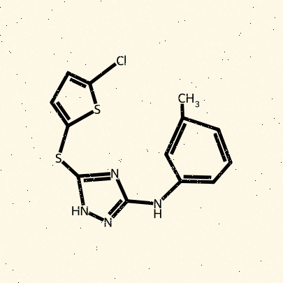 Cc1cccc(Nc2n[nH]c(Sc3ccc(Cl)s3)n2)c1